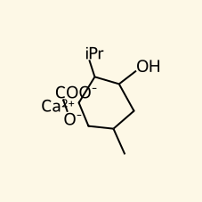 CC1CCC(C(C)C)C(O)C1.O=C([O-])[O-].[Ca+2]